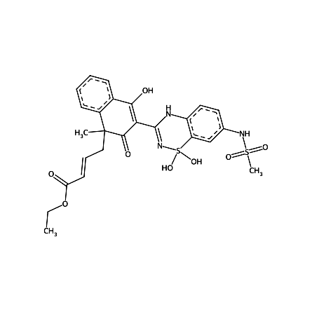 CCOC(=O)C=CCC1(C)C(=O)C(C2=NS(O)(O)c3cc(NS(C)(=O)=O)ccc3N2)=C(O)c2ccccc21